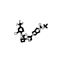 CC(C)(C)OC(=O)N1CC2CN(c3cnn(C4(C(=O)Nc5ccc(C(F)(F)F)cc5Cl)CCC4)c3)CC2C1